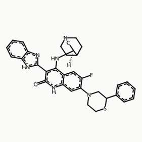 O=c1[nH]c2cc(N3CCSC(c4ccccc4)C3)c(F)cc2c(N[C@H]2CN3CCC2CC3)c1-c1nc2ccccc2[nH]1